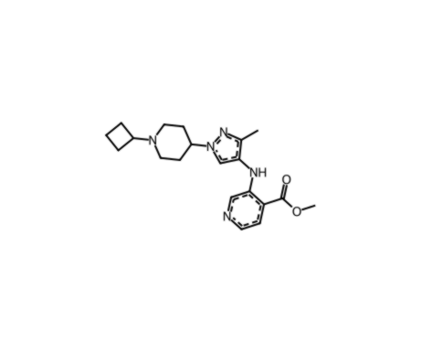 COC(=O)c1ccncc1Nc1cn(C2CCN(C3CCC3)CC2)nc1C